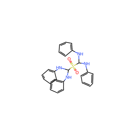 O=S(=O)(C(Nc1ccccc1)Nc1ccccc1)C(Nc1ccccc1)Nc1ccccc1